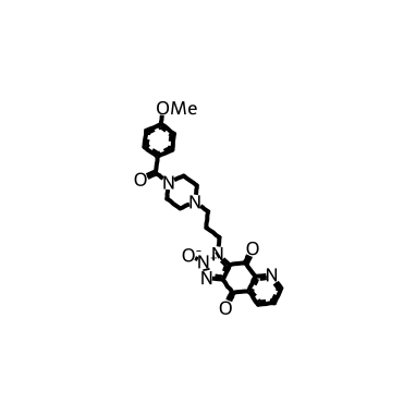 COc1ccc(C(=O)N2CCN(CCCn3c4c(n[n+]3[O-])C(=O)c3cccnc3C4=O)CC2)cc1